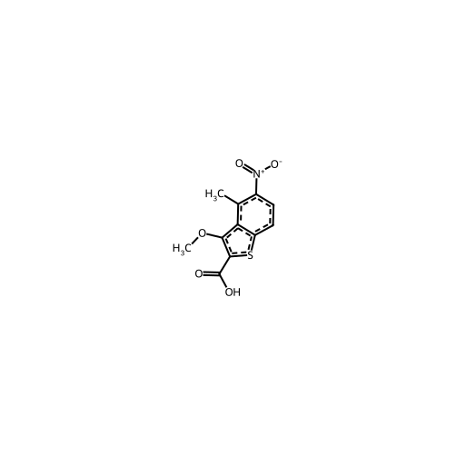 COc1c(C(=O)O)sc2ccc([N+](=O)[O-])c(C)c12